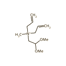 C=CC[N+](C)(CC=C)CC(OC)OC